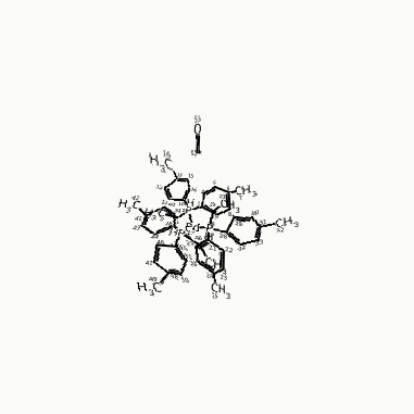 CC[PH](c1ccc(C)cc1)(c1ccc(C)cc1)[Pd]([PH](CC)(c1ccc(C)cc1)c1ccc(C)cc1)[PH](CC)(c1ccc(C)cc1)c1ccc(C)cc1.[C]=O